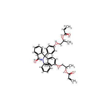 C=CC(=O)OC(C)COc1ccc(C2(c3ccc(OCC(C)OC(=O)C=C)cc3)c3ccccc3C(=O)N2c2ccccc2)cc1